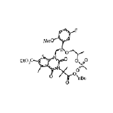 CCCCOC(=O)C(C)(C)n1c(=O)c2c(C)c(C(=O)OCC)sc2n(C[C@H](OCC(C)OS(C)(=O)=O)c2cc(F)ccc2OC)c1=O